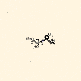 Cc1nnn(Cc2cc(C(F)(F)F)ccc2/C=C/C(=O)N2CCN(C(=O)OC(C)(C)C)CC2CO)n1